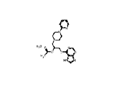 CC(=O)OC(CSc1ncnc2nc[nH]c12)CN1CCN(c2ccccn2)CC1.O